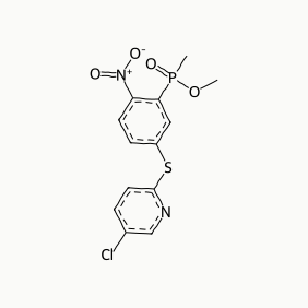 COP(C)(=O)c1cc(Sc2ccc(Cl)cn2)ccc1[N+](=O)[O-]